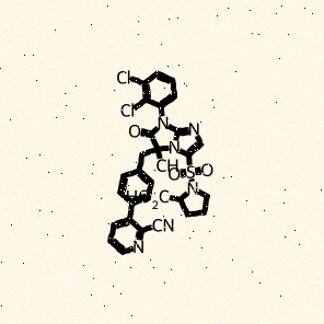 CC1(Cc2ccc(-c3cccnc3C#N)cc2)C(=O)N(c2cccc(Cl)c2Cl)c2ncc(S(=O)(=O)N3CCCC3C(=O)O)n21